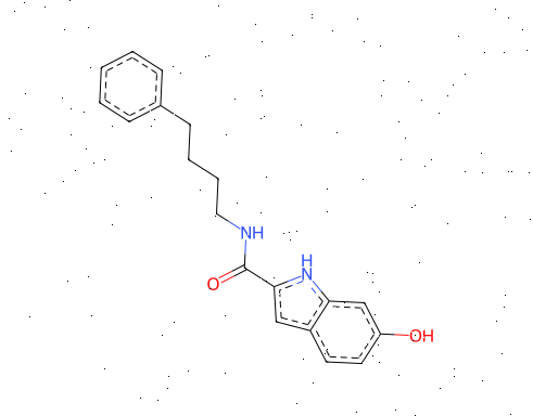 O=C(NCCCCc1ccccc1)c1cc2ccc(O)cc2[nH]1